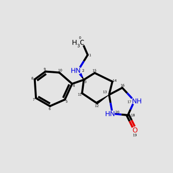 CCN[C@]1(C2=CC=CC=CC2)CC[C@@]2(CC1)CNC(=O)N2